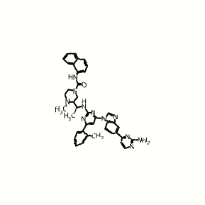 Cc1ccccc1-c1cc(-n2cnc3cc(-c4ccnc(N)n4)ccc32)nc(NC(C)C2CN(C(=O)Nc3cccc4ccccc34)CCN2C)n1